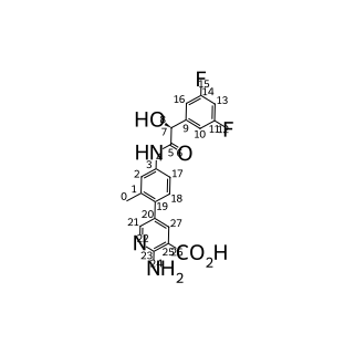 Cc1cc(NC(=O)[C@@H](O)c2cc(F)cc(F)c2)ccc1-c1cnc(N)c(C(=O)O)c1